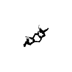 Cc1cc2c(s1)Cc1sc(C)cc1C2